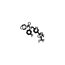 O=C(N1CCOCC1)N(Cc1ccc(-c2nnc(C(F)F)o2)cn1)c1cccc(F)c1